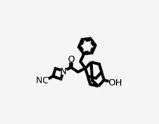 N#CC1CN(C(=O)CC2(Cc3ccccc3)C3CC4CC2CC(C3)C4O)C1